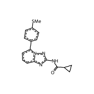 CSc1ccc(-c2cccc3nc(NC(=O)C4CC4)nn23)cc1